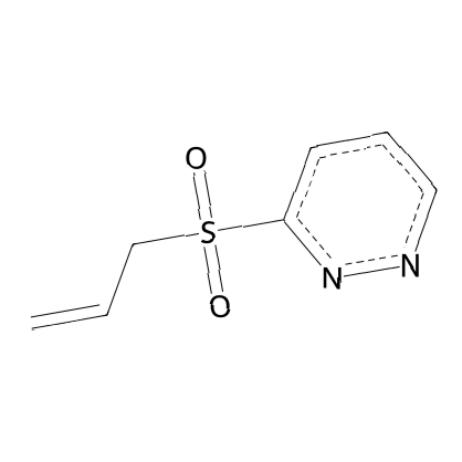 C=CCS(=O)(=O)c1cccnn1